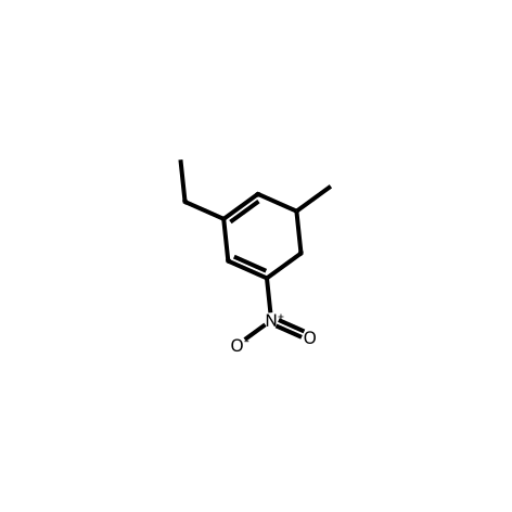 CCC1=CC(C)CC([N+](=O)[O-])=C1